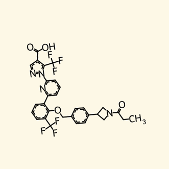 CCC(=O)N1CC(c2ccc(COc3c(-c4cccc(-n5ncc(C(=O)O)c5C(F)(F)F)n4)cccc3C(F)(F)F)cc2)C1